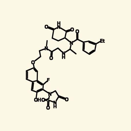 CCc1cccc(C(=O)N(C(C)NCC(=O)N(C)CCOc2ccc3cc(O)c(N4CC(=O)NS4(=O)=O)c(F)c3c2)C2CCC(=O)NC2=O)c1